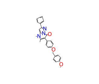 COc1ccc(COc2ccc(-c3c(C)n(C)c4cc(-c5ccccc5)nn4c3=O)cc2)cc1